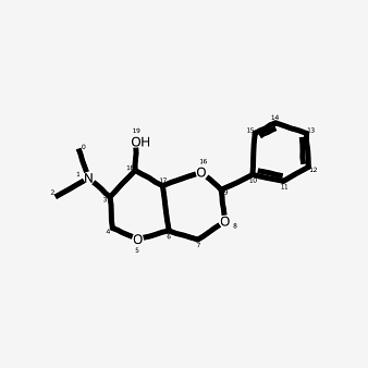 CN(C)C1COC2COC(c3ccccc3)OC2C1O